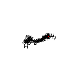 CN(C)C(=O)c1cc2cnc(Nc3ccc(N4CCN(C(=O)CCCSc5cccc6c5CN(C5CCC(=O)NC5=O)C6=O)CC4)cn3)nc2n1C1CCCC1